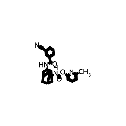 Cc1cccc(OC(=O)NC23CC4CC(C2)CC(NC(=O)c2cccc(C#N)c2)(C4)C3)n1